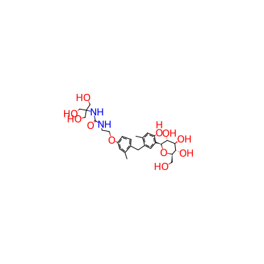 Cc1cc(OCCNC(=O)NC(CO)(CO)CO)ccc1Cc1cc([C@@H]2O[C@H](CO)[C@@H](O)[C@H](O)[C@H]2O)c(O)cc1C